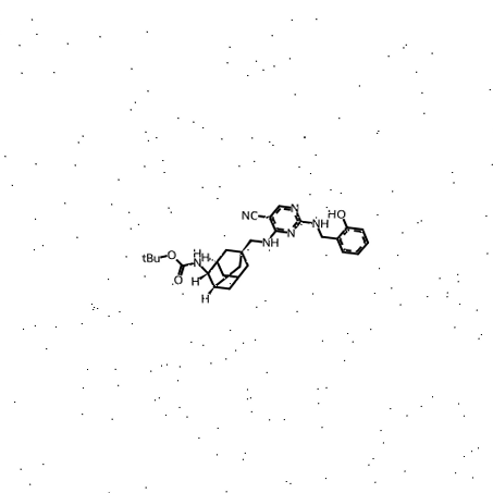 CC(C)(C)OC(=O)N[C@@H]1[C@@H]2CC3C[C@H]1C[C@@](CNc1nc(NCc4ccccc4O)ncc1C#N)(C3)C2